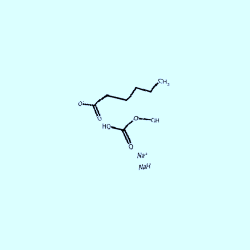 CCCCCC(=O)[O-].O=C(O)OO.[Na+].[NaH]